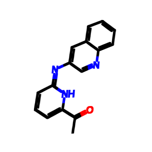 CC(=O)c1ccc/c(=N/c2cnc3ccccc3c2)[nH]1